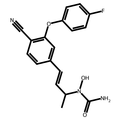 CC(C=Cc1ccc(C#N)c(Oc2ccc(F)cc2)c1)N(O)C(N)=O